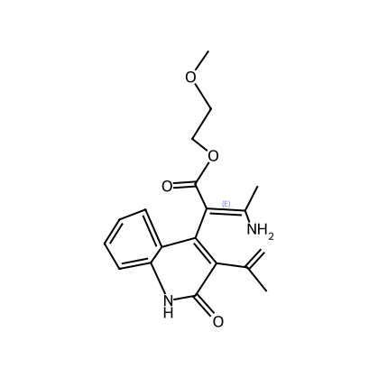 C=C(C)c1c(/C(C(=O)OCCOC)=C(/C)N)c2ccccc2[nH]c1=O